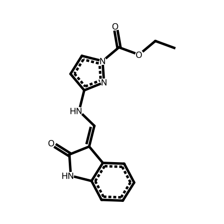 CCOC(=O)n1ccc(NC=C2C(=O)Nc3ccccc32)n1